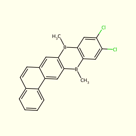 CB1c2cc(Cl)c(Cl)cc2B(C)c2cc3c(ccc4ccccc43)cc21